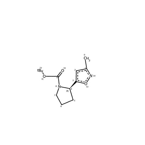 Cc1cc([C@H]2CCCN2C(=O)OC(C)(C)C)on1